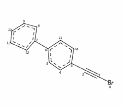 BrC#Cc1ccc(-c2cc[c]cc2)cc1